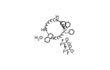 O.O=C([O-])C(F)(F)F.O=C([O-])C(F)(F)F.c1ccc(CC2(Cc3ccccc3)CCCC[n+]3ccc(c4ccccc43)NCCCCCNc3cc[n+]2c2ccccc32)cc1